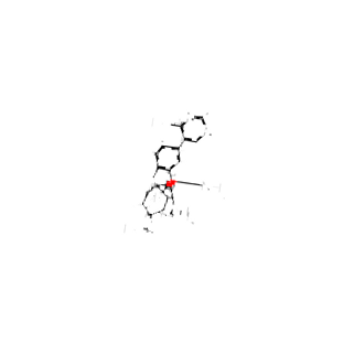 BC1(B)OC(N)=N[C@]12c1cc(-c3cncnc3C)ccc1C[C@@]21CC[C@H](OC)[C@@H](C)C1